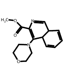 COC(=O)C1=C(N2CCOCC2)C2C=CC=CC2C=N1